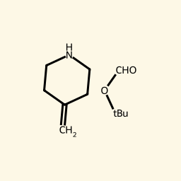 C=C1CCNCC1.CC(C)(C)OC=O